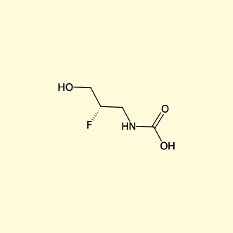 O=C(O)NC[C@H](F)CO